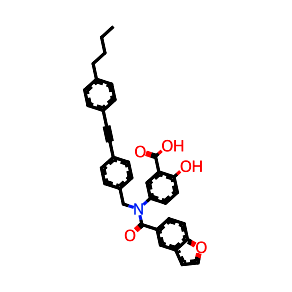 CCCCc1ccc(C#Cc2ccc(CN(C(=O)c3ccc4occc4c3)c3ccc(O)c(C(=O)O)c3)cc2)cc1